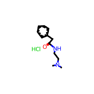 CN(C)CCNC(=O)Cc1ccccc1.Cl